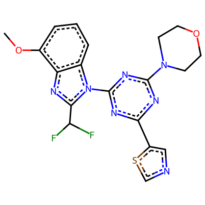 COc1cccc2c1nc(C(F)F)n2-c1nc(-c2cncs2)nc(N2CCOCC2)n1